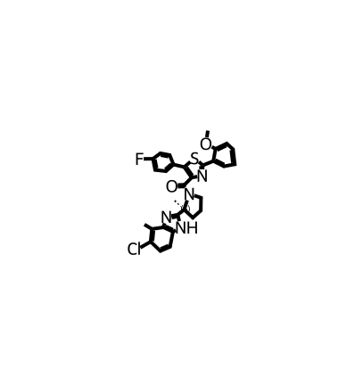 COc1ccccc1-c1nc(C(=O)N2CCC[C@@]2(C)c2nc3c(C)c(Cl)ccc3[nH]2)c(-c2ccc(F)cc2)s1